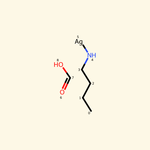 CCCC[NH][Ag].O=CO